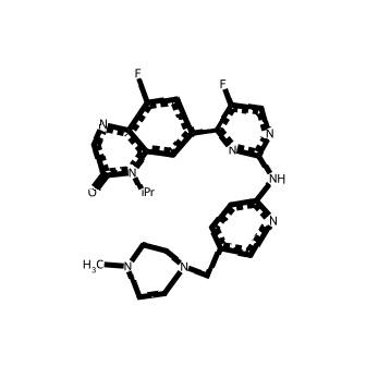 CC(C)n1c(=O)cnc2c(F)cc(-c3nc(Nc4ccc(CN5CCN(C)CC5)cn4)ncc3F)cc21